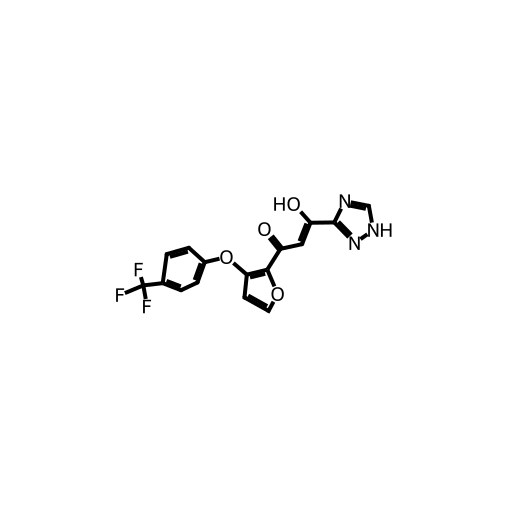 O=C(C=C(O)c1nc[nH]n1)c1occc1Oc1ccc(C(F)(F)F)cc1